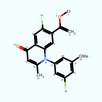 C=C(OCC)c1cc2c(cc1F)c(=O)cc(C)n2-c1cc(F)cc(OC)c1